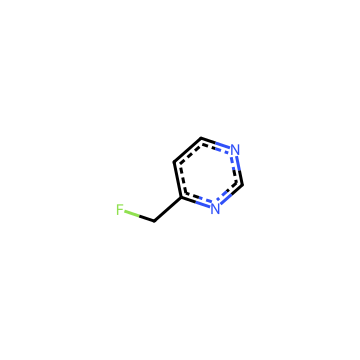 FCc1ccncn1